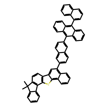 CC1(C)c2ccccc2-c2c1ccc1c2sc2c3ccccc3c(-c3ccc4cc(-c5c6ccccc6c(-c6cccc7ccccc67)c6ccccc56)ccc4c3)cc12